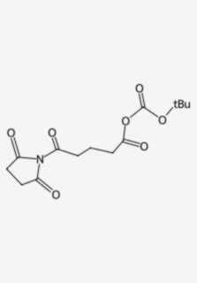 CC(C)(C)OC(=O)OC(=O)CCCC(=O)N1C(=O)CCC1=O